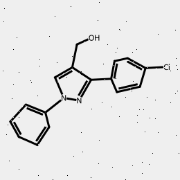 OCc1cn(-c2ccccc2)nc1-c1ccc(Cl)cc1